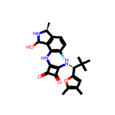 Cc1cc([C@H](Nc2c(Nc3c(F)ccc4c3C(O)N[C@H]4C)c(=O)c2=O)C(C)(C)C)oc1C